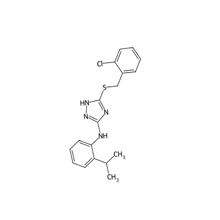 CC(C)c1ccccc1Nc1n[nH]c(SCc2ccccc2Cl)n1